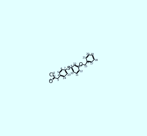 O=C(Cl)Cc1ccc(Sc2cccc(OCc3ccccc3)c2)cc1